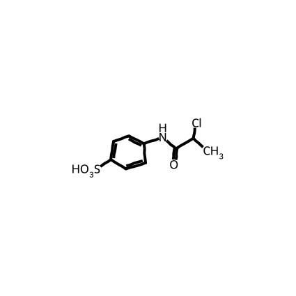 CC(Cl)C(=O)Nc1ccc(S(=O)(=O)O)cc1